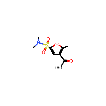 Cc1oc(S(=O)(=O)N(C)C)cc1C(=O)C(C)(C)C